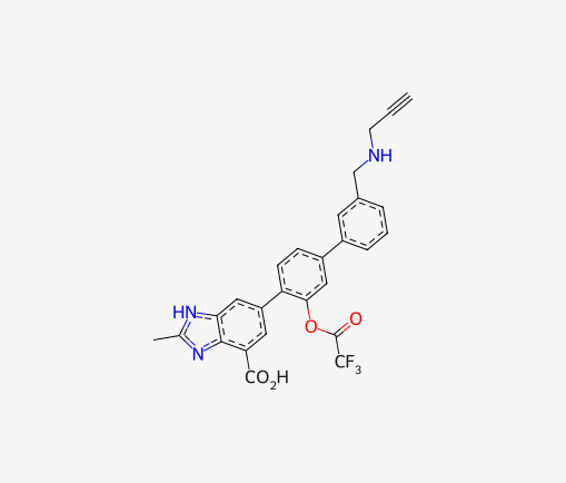 C#CCNCc1cccc(-c2ccc(-c3cc(C(=O)O)c4nc(C)[nH]c4c3)c(OC(=O)C(F)(F)F)c2)c1